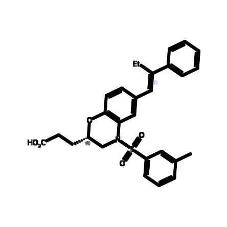 CC/C(=C\c1ccc2c(c1)N(S(=O)(=O)c1cccc(C)c1)C[C@H](CCC(=O)O)O2)c1ccccc1